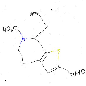 CC(C)CC1c2sc(C=O)cc2CCN1C(=O)O